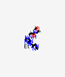 CCn1c(-c2cnc(C)nc2)nc2c(NC[C@H](C)C(=O)N3C[C@@H](C)O[C@@H](C)C3)ncnc21